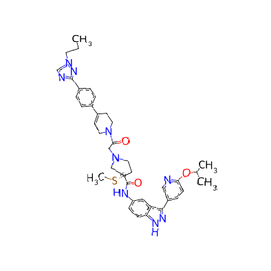 CCCn1cnc(-c2ccc(C3=CCN(C(=O)CN4CC[C@@](SC)(C(=O)Nc5ccc6[nH]nc(-c7ccc(OC(C)C)nc7)c6c5)C4)CC3)cc2)n1